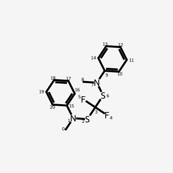 CN(SC(F)(F)SN(C)c1ccccc1)c1ccccc1